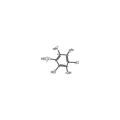 CCCc1c(Cl)c(O)c(O)c(C(=O)O)c1CCC